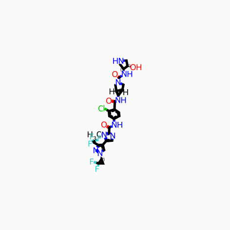 Cn1c(-c2cn([C@@H]3CC3(F)F)nc2C(F)(F)F)cnc1C(=O)Nc1ccc(C(=O)NC2[C@H]3CN(C(=O)N[C@H]4CNC[C@@H]4O)C[C@@H]23)c(Cl)c1